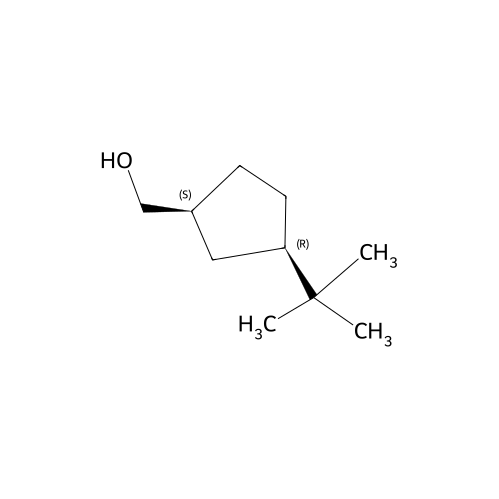 CC(C)(C)[C@@H]1CC[C@H](CO)C1